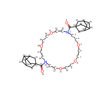 O=C(N1CCOCCOCCOCCN(C(=O)C23CC4CC(C2)C(C4)C3)CCOCCOCC1)C12CC3CC(C1)C(C3)C2